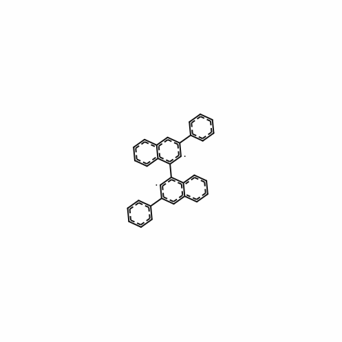 [c]1c(-c2ccccc2)cc2ccccc2c1-c1[c]c(-c2ccccc2)cc2ccccc12